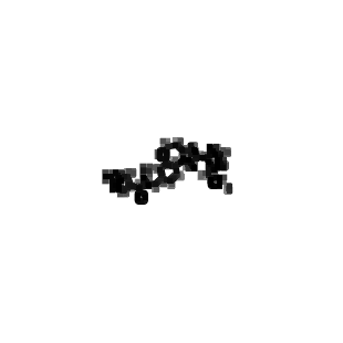 O=C(NCc1ccc2c(c1)OCCc1sc(-c3ncnn3CC(F)(F)F)nc1-2)c1cn[nH]c1